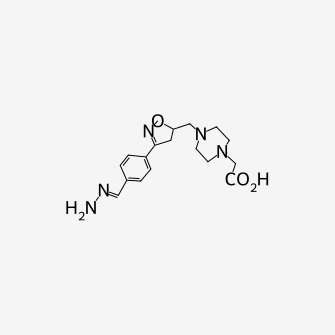 NN=Cc1ccc(C2=NOC(CN3CCN(CC(=O)O)CC3)C2)cc1